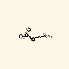 COC(=O)CCCCCCc1cccc(C=Cc2cc(OC3CCCCO3)cc(OC3CCCCO3)c2)c1